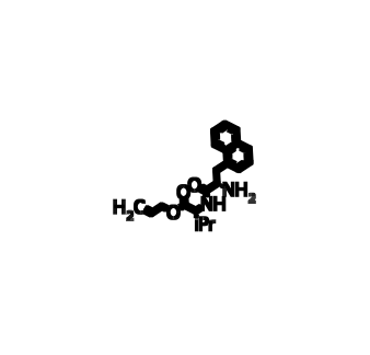 C=CCOC(=O)[C@@H](NC(=O)[C@@H](N)Cc1cccc2ccccc12)C(C)C